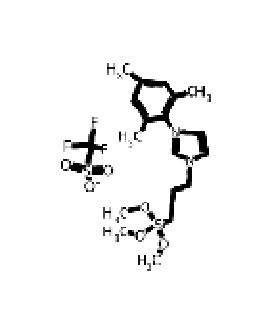 CO[Si](CCCn1cc[n+](-c2c(C)cc(C)cc2C)c1)(OC)OC.O=S(=O)([O-])C(F)(F)F